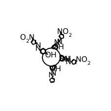 O=[N+]([O-])C1=CCC(N=Nc2cc3c(O)c(c2)Cc2cc(N=NC4=CC([N+](=O)[O-])=CC4)cc(c2O)Cc2cc(N=NC4=CC([N+](=O)[O-])=CC4)cc(c2O)Cc2cc(N=NC4=CC=CC4)cc(c2O)CCCC3)=C1